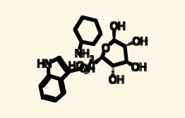 NC1CCCCC1.O=C(O)[C@H]1O[C@@H](O)[C@H](O)[C@@H](O)[C@@H]1O.Oc1c[nH]c2ccccc12